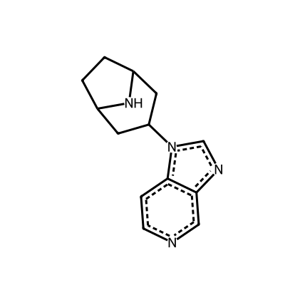 c1cc2c(cn1)ncn2C1CC2CCC(C1)N2